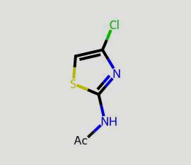 CC(=O)Nc1nc(Cl)cs1